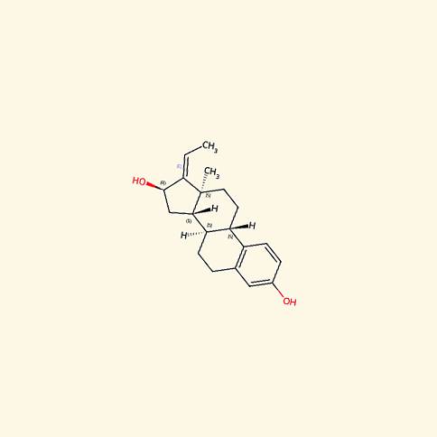 C/C=C1/[C@H](O)C[C@H]2[C@@H]3CCc4cc(O)ccc4[C@H]3CC[C@]12C